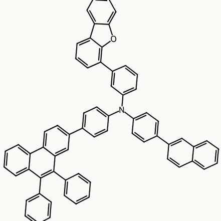 c1ccc(-c2c(-c3ccccc3)c3cc(-c4ccc(N(c5ccc(-c6ccc7ccccc7c6)cc5)c5cccc(-c6cccc7c6oc6ccccc67)c5)cc4)ccc3c3ccccc23)cc1